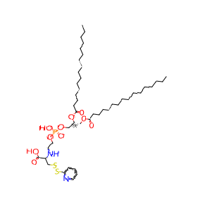 CCCCCCCCCCCCCCCC(=O)OC[C@H](COP(=O)(O)OCCNC(CSSc1ccccn1)C(=O)O)OC(=O)CCCCCCCCCCCCCCC